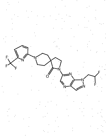 O=C1N(c2cnc3cnn(CC(F)F)c3n2)CCC12CCN(c1cccc(C(F)(F)F)n1)CC2